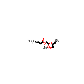 CC(C)(C)CC(CO)OC(COC(=O)CCCC(=O)O)OC(C)(C)C